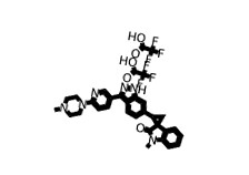 CN1CCN(c2ccc(-c3n[nH]c4cc(C5CC56C(=O)N(C)c5ccccc56)ccc34)cn2)CC1.O=C(O)C(F)(F)F.O=C(O)C(F)(F)F